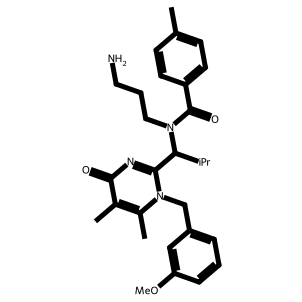 COc1cccc(Cn2c(C(C(C)C)N(CCCN)C(=O)c3ccc(C)cc3)nc(=O)c(C)c2C)c1